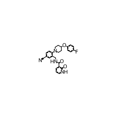 N#Cc1ccc(N2CCC(Oc3ccc(F)cc3)CC2)c(CNC(=O)c2ccc[nH]c2=O)c1